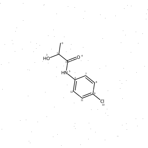 CC(O)C(=O)Nc1ccc(Cl)cc1